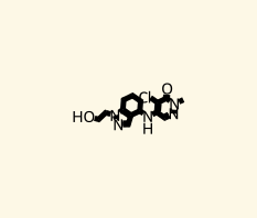 Cn1ncc(NC2CCCc3c2cnn3CCO)c(Cl)c1=O